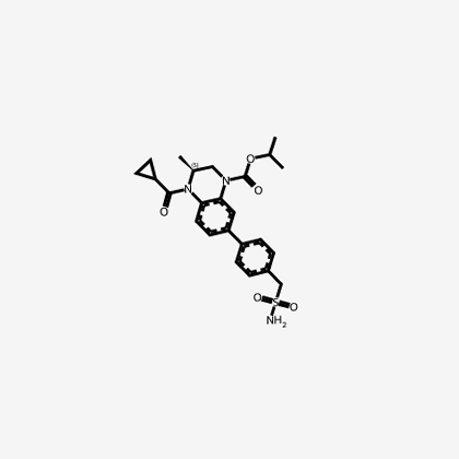 CC(C)OC(=O)N1C[C@H](C)N(C(=O)C2CC2)c2ccc(-c3ccc(CS(N)(=O)=O)cc3)cc21